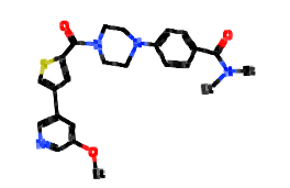 CCOc1cncc(-c2csc(C(=O)N3CCN(c4ccc(C(=O)N(CC)CC)cc4)CC3)c2)c1